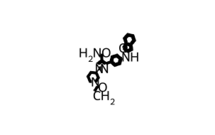 C=CC(=O)N1CCC[C@@H](n2cc(C(N)=O)c(-c3ccc(Nc4cc5ccccc5o4)cc3)n2)C1